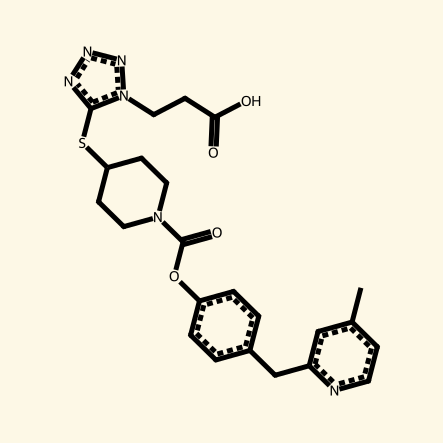 Cc1ccnc(Cc2ccc(OC(=O)N3CCC(Sc4nnnn4CCC(=O)O)CC3)cc2)c1